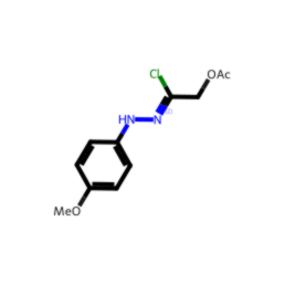 COc1ccc(N/N=C(\Cl)COC(C)=O)cc1